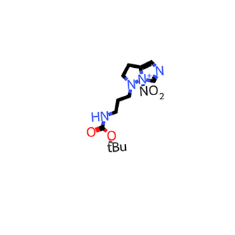 CC(C)(C)OC(=O)NCCCN1CCC2=CN=C[N+]21[N+](=O)[O-]